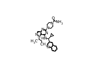 CC[C@H](C)n1ncc2nc(N3CCN(C(N)=O)CC3)nc(NC(c3cnc4ccccc4c3)C3CC3)c21